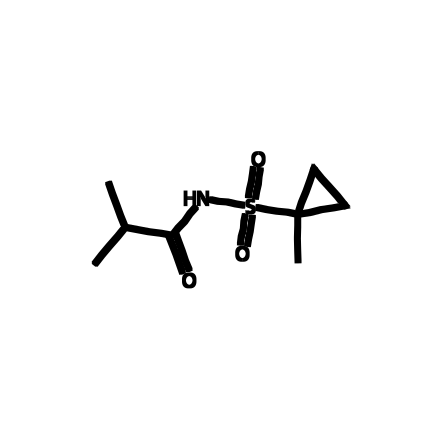 CC(C)C(=O)NS(=O)(=O)C1(C)CC1